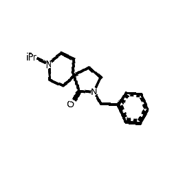 CC(C)N1CCC2(CCN(Cc3ccccc3)C2=O)CC1